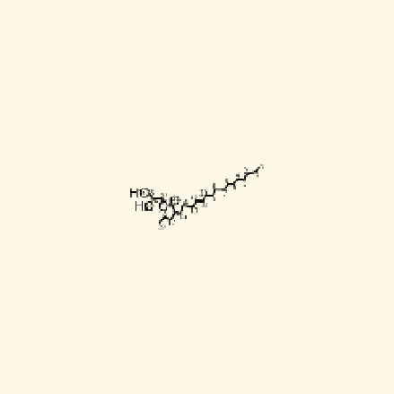 CCCCCCCCCCCCCCCCC(CCC)C(=O)OCC(O)CO